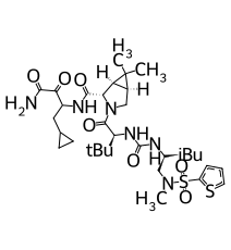 CC[C@H](C)[C@@H](CN(C)S(=O)(=O)c1cccs1)NC(=O)N[C@H](C(=O)N1C[C@H]2[C@@H]([C@H]1C(=O)NC(CC1CC1)C(=O)C(N)=O)C2(C)C)C(C)(C)C